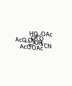 CC(=O)OCC1O[C@@H](O[C@@H]2CC(SCC#N)OC(COC(C)=O)[C@H]2O)[C@@H](O)C(OC(C)=O)[C@H]1OC(C)=O